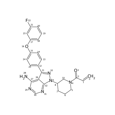 C=CC(=O)N1CCCC(n2nc(-c3ccc(Oc4cccc(F)c4)cc3)c3c(N)ncnc32)C1